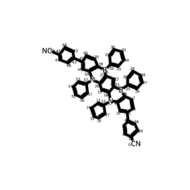 N#Cc1ccc(-c2ccc3c(c2)N(c2ccccc2)c2cc4c(cc2B3c2ccccc2)B(c2ccccc2)c2ccc(-c3ccc(C#N)cc3)cc2N4c2ccccc2)cc1